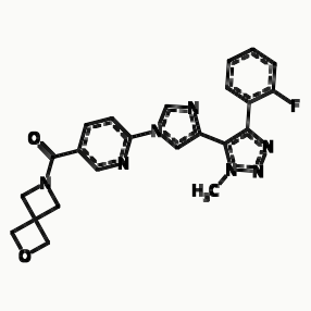 Cn1nnc(-c2ccccc2F)c1-c1cn(-c2ccc(C(=O)N3CC4(COC4)C3)cn2)cn1